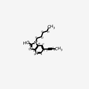 CC#Cc1cnc2nc(O)n(CCCCC)c2c1